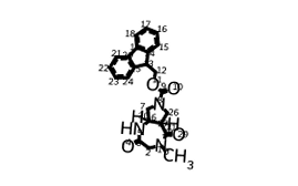 CN1CC(=O)N[C@@H]2CN(C(=O)OCC3c4ccccc4-c4ccccc43)C[C@@H]2C1=O